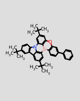 CC(C)(C)c1cc2c3c(c1)-n1c4ccc(C(C)(C)C)cc4c4cc(C(C)(C)C)cc(c41)B3c1ccc(-c3ccccc3)cc1O2